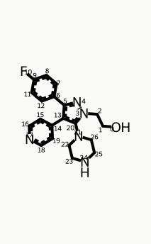 OCCn1nc(-c2ccc(F)cc2)c(-c2ccncc2)c1N1CCNCC1